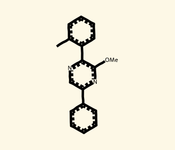 COc1nc(-c2ccccc2)cnc1-c1ccccc1C